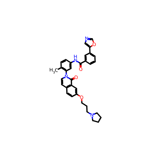 Cc1ccc(NC(=O)c2cccc(-c3cnco3)c2)cc1-n1ccc2ccc(OCCCN3CCCC3)cc2c1=O